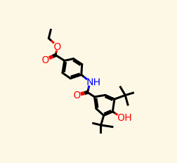 CCOC(=O)c1ccc(NC(=O)c2cc(C(C)(C)C)c(O)c(C(C)(C)C)c2)cc1